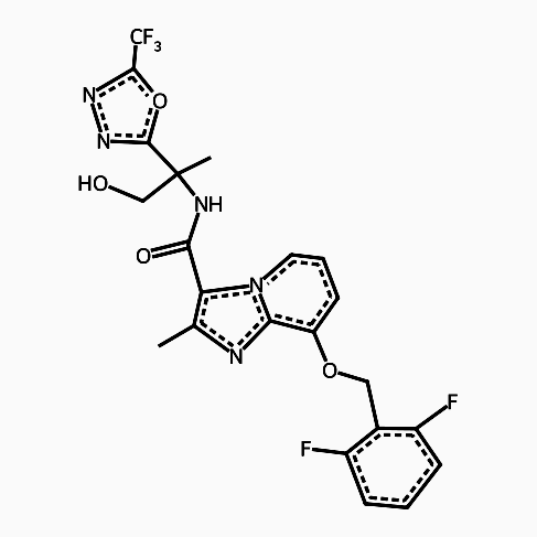 Cc1nc2c(OCc3c(F)cccc3F)cccn2c1C(=O)NC(C)(CO)c1nnc(C(F)(F)F)o1